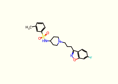 Cc1cccc(S(=O)(=O)NC2CCN(CCCc3noc4cc(F)ccc34)CC2)c1